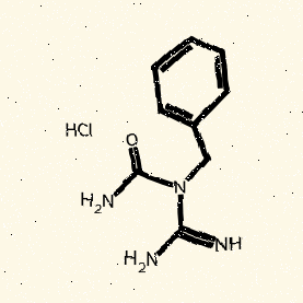 Cl.N=C(N)N(Cc1ccccc1)C(N)=O